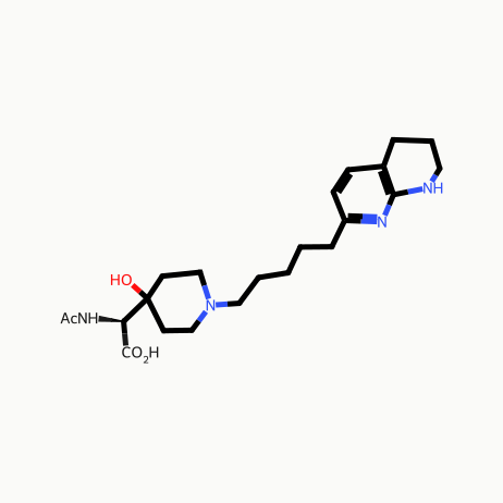 CC(=O)N[C@H](C(=O)O)C1(O)CCN(CCCCCc2ccc3c(n2)NCCC3)CC1